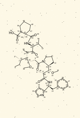 CC[C@H](C)[C@@H]([C@H](CC(=O)N1CCC[C@H]1[C@H](OC)[C@@H](C)C(=O)N[C@@H](Cc1ccccc1)c1nccs1)OC)N(C)C(=O)[C@@H](NC(=O)[C@]1(C)CCCCN1C(=O)O)C(C)C